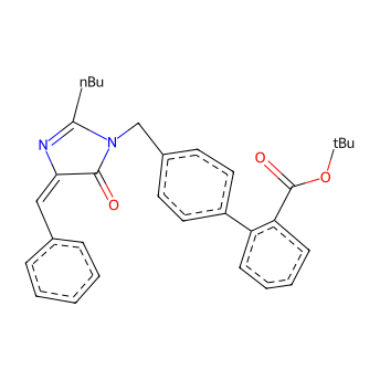 CCCCC1=N/C(=C/c2ccccc2)C(=O)N1Cc1ccc(-c2ccccc2C(=O)OC(C)(C)C)cc1